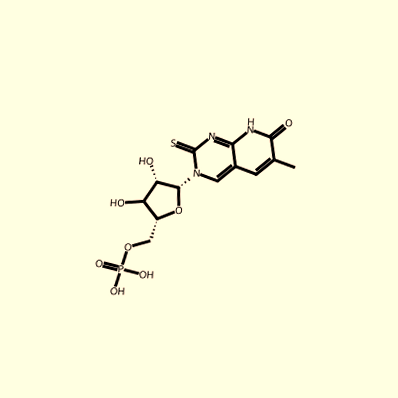 Cc1cc2cn([C@@H]3O[C@H](COP(=O)(O)O)C(O)[C@@H]3O)c(=S)nc2[nH]c1=O